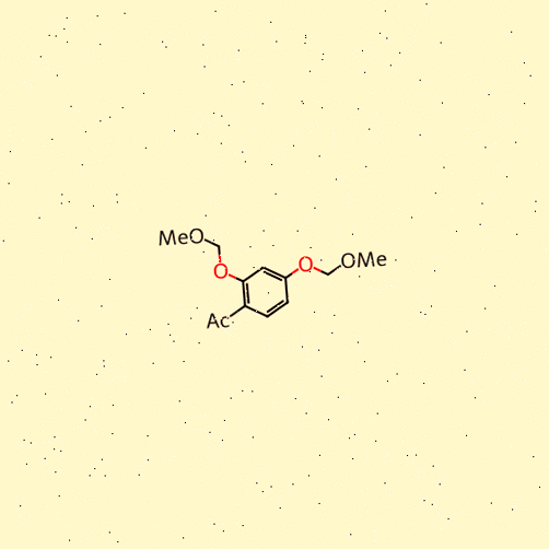 COCOc1ccc(C(C)=O)c(OCOC)c1